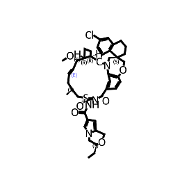 CC[C@H]1Cn2cc(C(=O)N[S@@]3(=O)=NC(=O)c4ccc5c(c4)N(C[C@@H]4CC[C@H]4[C@@H](OC)/C=C/C[C@H](C)C3)C[C@@]3(CCCc4cc(Cl)ccc43)CO5)cc2CO1